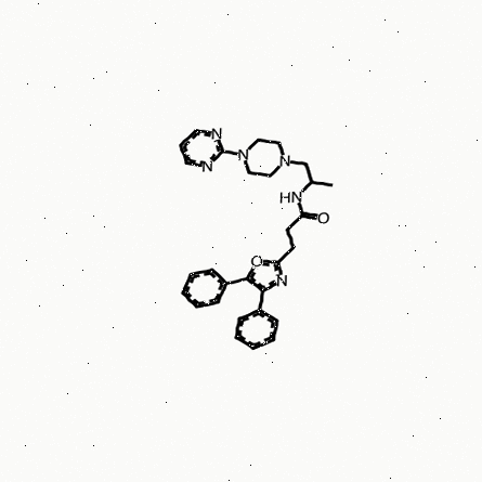 CC(CN1CCN(c2ncccn2)CC1)NC(=O)CCc1nc(-c2ccccc2)c(-c2ccccc2)o1